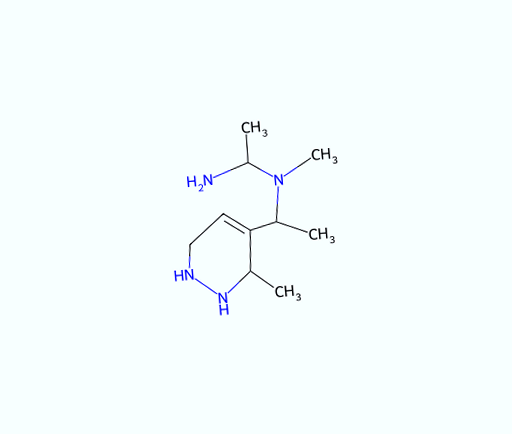 CC1NNCC=C1C(C)N(C)C(C)N